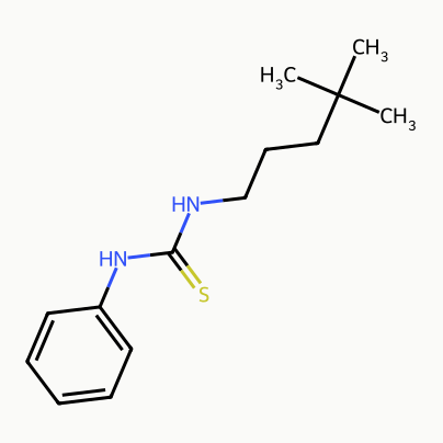 CC(C)(C)CCCNC(=S)Nc1ccccc1